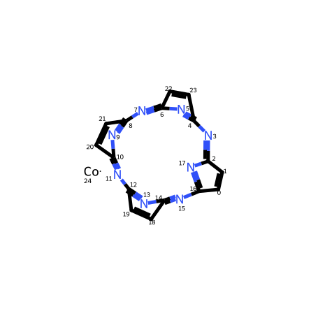 C1=C/C2=N/C3=NC(=N\C4=NC(=N\C5=NC(=N\C1=N2)/C=C5)/C=C4)/C=C3.[Co]